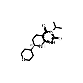 CC(C)n1c(=O)[nH]c2c(c1=O)CC[C@H](C1CCOCC1)N2